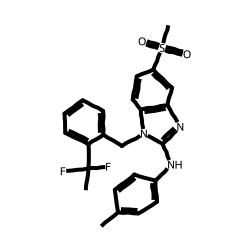 Cc1ccc(Nc2nc3cc(S(C)(=O)=O)ccc3n2Cc2ccccc2C(C)(F)F)cc1